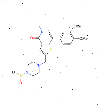 CC[S+]([O-])N1CCN(Cc2cc3c(=O)n(C)cc(-c4ccc(OC)c(OC)c4)c3s2)CC1